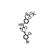 COc1cc(Br)ccc1[C@@H](C)CN(C)C(=O)Nc1cccc(CN(C)C(=O)OC(C)(C)C)c1